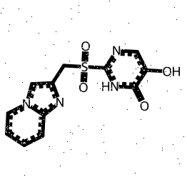 O=c1[nH]c(S(=O)(=O)Cc2cn3ccccc3n2)ncc1O